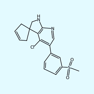 CS(=O)(=O)c1cccc(-c2cnc3c(c2Cl)C2(CC=CC2)CN3)c1